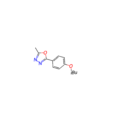 CCC(C)Oc1ccc(-c2nnc(C)o2)cc1